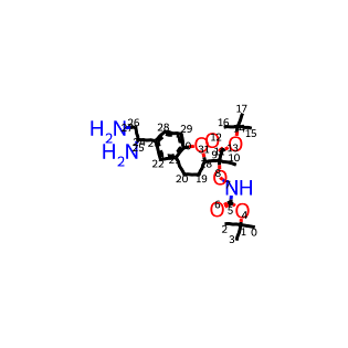 CC(C)(C)OC(=O)NOC(C)(C(=O)OC(C)(C)C)C1CCc2cc(C(N)CN)ccc2O1